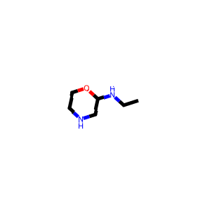 CCNC1CNCCO1